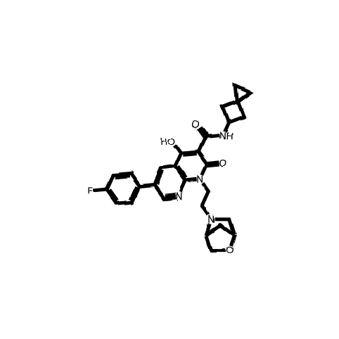 O=C(NC1CC2(CC2)C1)c1c(O)c2cc(-c3ccc(F)cc3)cnc2n(CCN2CC3CC2CO3)c1=O